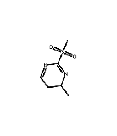 CC1CC=NC(S(C)(=O)=O)=N1